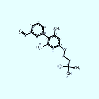 Cc1cc(OCCC(C)(C)O)nc(C)c1-c1cccc(C=O)c1